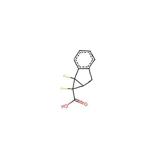 O=C(O)C1(F)C2Cc3ccccc3C21F